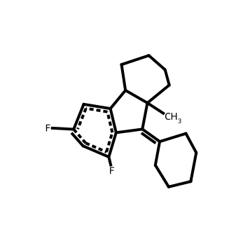 CC12CCCCC1c1cc(F)cc(F)c1C2=C1CCCCC1